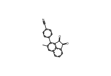 Cc1cc2cccc3c2c(c1-c1ccc(C#N)cc1)C(=O)C3=O